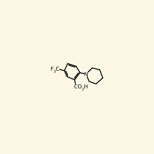 O=C(O)c1cc(C(F)(F)F)ccc1N1CCCCC1